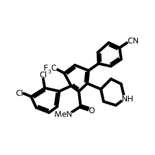 CNC(=O)c1c(-c2cccc(Cl)c2Cl)c(C(F)(F)F)cc(-c2ccc(C#N)cc2)c1C1CCNCC1